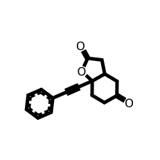 O=C1CCC2(C#Cc3ccccc3)OC(=O)CC2C1